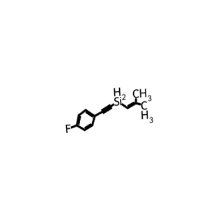 CC(C)=C[SiH2]C#Cc1ccc(F)cc1